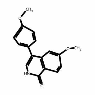 COc1ccc(-c2c[nH]c(=O)c3ccc(OC)cc23)cc1